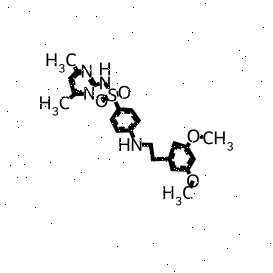 COc1cc(CCNc2ccc(S(=O)(=O)Nc3nc(C)cc(C)n3)cc2)cc(OC)c1